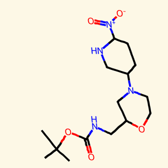 CC(C)(C)OC(=O)NCC1CN(C2CCC([N+](=O)[O-])NC2)CCO1